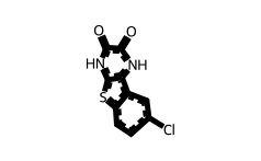 O=c1[nH]c2sc3ccc(Cl)cc3c2[nH]c1=O